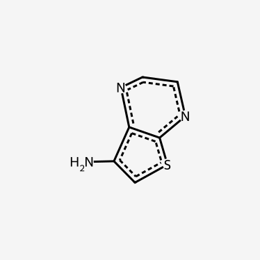 Nc1csc2nccnc12